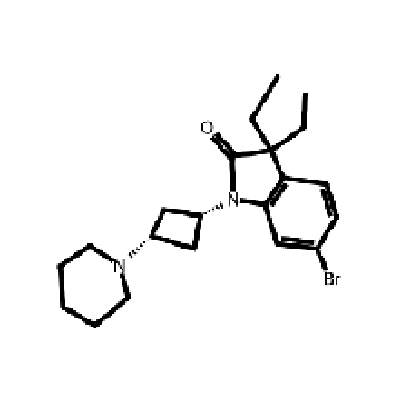 CCC1(CC)C(=O)N([C@H]2C[C@@H](N3CCCCC3)C2)c2cc(Br)ccc21